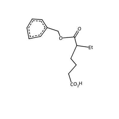 CCC(CCCC(=O)O)C(=O)OCc1ccccc1